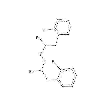 CCC(Cc1ccccc1F)SSC(CC)Cc1ccccc1F